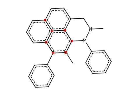 CN(Cc1ccccc1CN(C)P(c1ccccc1)c1ccccc1)P(c1ccccc1)c1ccccc1